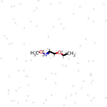 [CH2]COCC=NOC